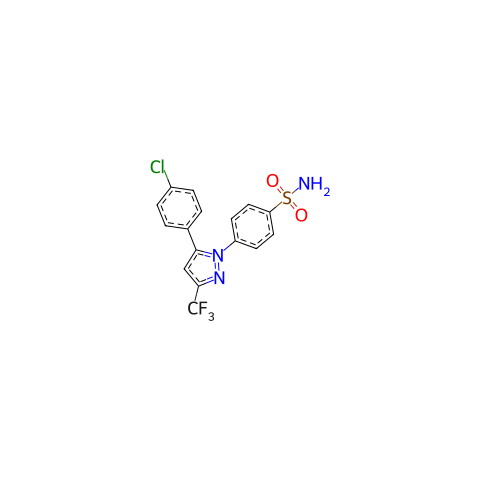 NS(=O)(=O)c1ccc(-n2nc(C(F)(F)F)cc2-c2ccc(Cl)cc2)cc1